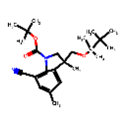 Cc1cc(C#N)c2c(c1)C(C)(CO[Si](C)(C)C(C)(C)C)CN2C(=O)OC(C)(C)C